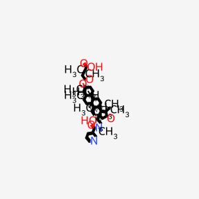 CC(C)C1=C2[C@H]3CC[C@@H]4[C@@]5(C)CC[C@H](OC(=O)CC(C)(C)C(=O)O)C(C)(C)C5CC[C@@]4(C)[C@]3(C)CC[C@@]2([C@@H](O)CN(C)C(=O)c2cccnc2)CC1=O